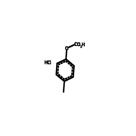 Cc1ccc(OC(=O)O)cc1.Cl